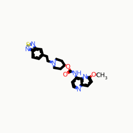 COc1ccc2nccc(NC(=O)OC3CCN(CCc4ccc5nsnc5c4)CC3)c2n1